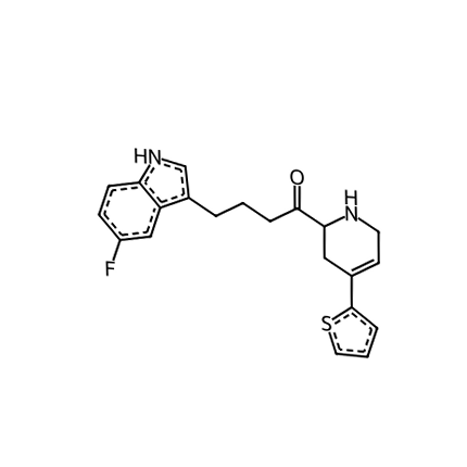 O=C(CCCc1c[nH]c2ccc(F)cc12)C1CC(c2cccs2)=CCN1